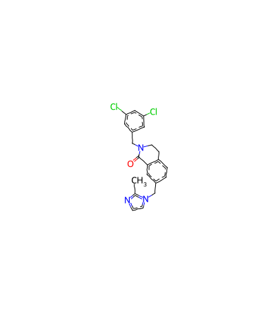 Cc1nccn1Cc1ccc2c(c1)C(=O)N(Cc1cc(Cl)cc(Cl)c1)CC2